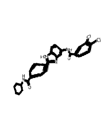 O=C(Nc1ccc2[nH]c(-c3ccc(C(=O)NC4CCCCC4)cc3)nc2c1)c1ccc(Cl)c(Cl)c1